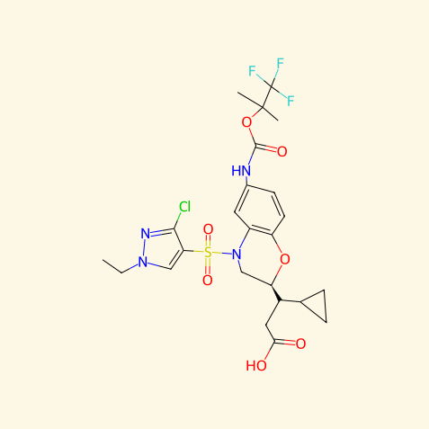 CCn1cc(S(=O)(=O)N2C[C@H](C(CC(=O)O)C3CC3)Oc3ccc(NC(=O)OC(C)(C)C(F)(F)F)cc32)c(Cl)n1